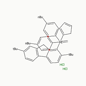 Cl.Cl.[CH2]=[Hf]([C]1=CC=CC1)([c]1ccc(CCCC)cc1)([c]1ccc(CCCC)cc1)[c]1c(C(C)(C)C)ccc2c1Cc1cc(C(C)(C)C)ccc1-2